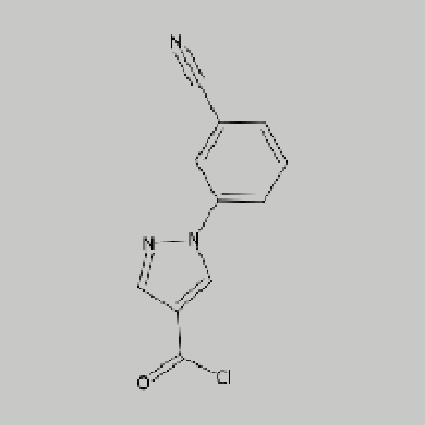 N#Cc1cccc(-n2cc(C(=O)Cl)cn2)c1